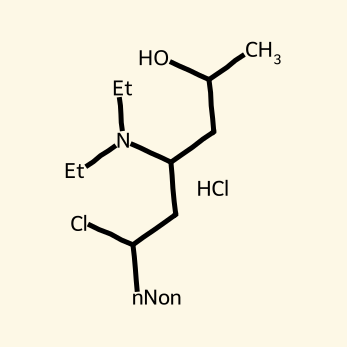 CCCCCCCCCC(Cl)CC(CC(C)O)N(CC)CC.Cl